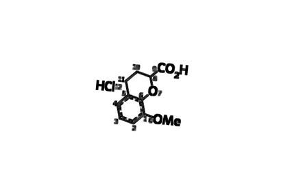 COc1cccc2c1OC(C(=O)O)CC2.Cl